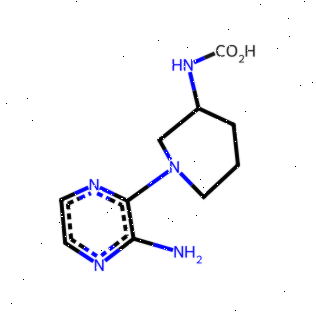 Nc1nccnc1N1CCCC(NC(=O)O)C1